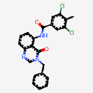 Cc1c(Cl)cc(C(=O)Nc2cccc3ncn(Cc4ccccc4)c(=O)c23)cc1Cl